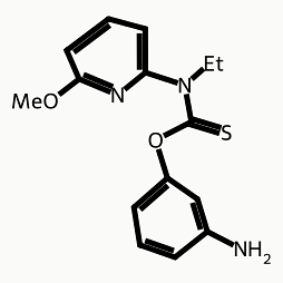 CCN(C(=S)Oc1cccc(N)c1)c1cccc(OC)n1